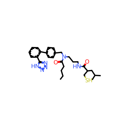 CCCCC(=O)N(CCCNC(=O)C(CS)CC(C)C)Cc1ccc(-c2ccccc2-c2nnn[nH]2)cc1